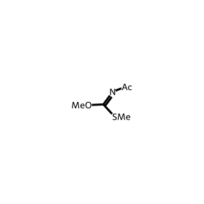 CO/C(=N/C(C)=O)SC